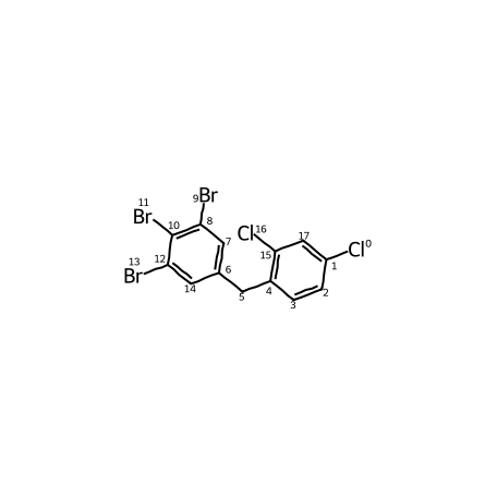 Clc1ccc(Cc2cc(Br)c(Br)c(Br)c2)c(Cl)c1